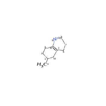 CC1CCC2=C(CCC=N2)C1